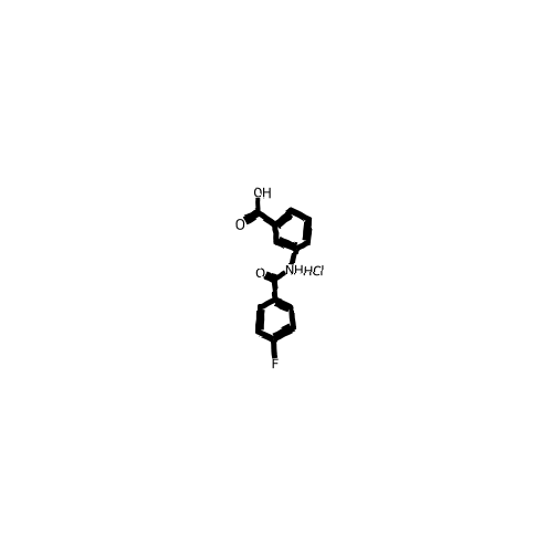 Cl.O=C(O)c1cccc(NC(=O)c2ccc(F)cc2)c1